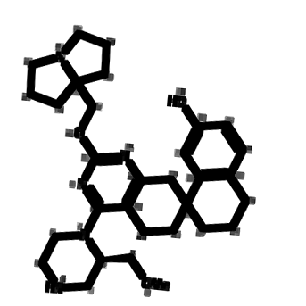 COC[C@H]1CNCCN1c1nc(OCC23CCCN2CCC3)nc2c1CCC1(CCCc3ccc(O)cc31)C2